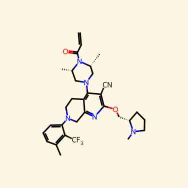 C=CC(=O)N1[C@H](C)CN(c2c(C#N)c(OC[C@@H]3CCCN3C)nc3c2CCN(c2cccc(C)c2C(F)(F)F)C3)C[C@@H]1C